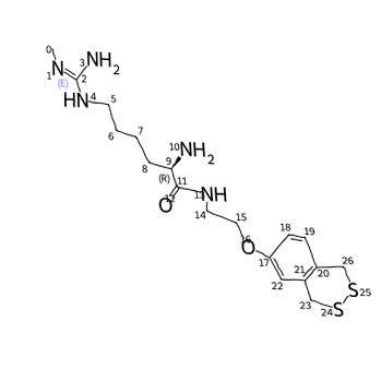 C/N=C(\N)NCCCC[C@@H](N)C(=O)NCCOc1ccc2c(c1)CSSC2